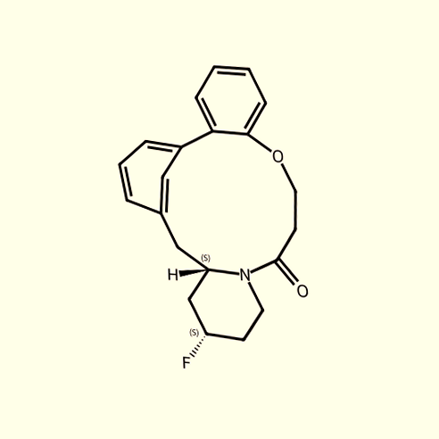 O=C1CCOc2ccccc2-c2cccc(c2)C[C@H]2C[C@@H](F)CCN12